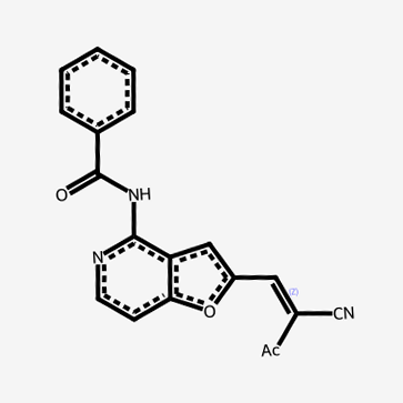 CC(=O)/C(C#N)=C\c1cc2c(NC(=O)c3ccccc3)nccc2o1